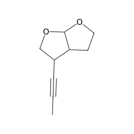 CC#CC1COC2OCCC12